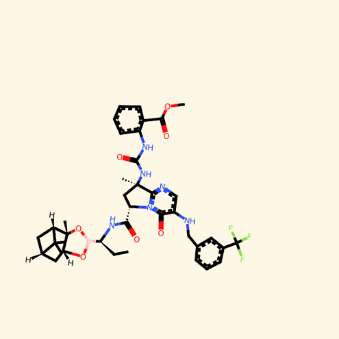 CC[C@H](NC(=O)[C@@H]1C[C@@](C)(NC(=O)Nc2ccccc2C(=O)OC)c2ncc(NCc3cccc(C(F)(F)F)c3)c(=O)n21)B1O[C@@H]2C[C@@H]3C[C@@H](C3(C)C)[C@]2(C)O1